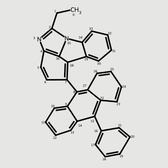 CCc1nc2ccc(-c3c4ccccc4c(-c4ccccc4)c4ccccc34)c3c4ccccc4n1c23